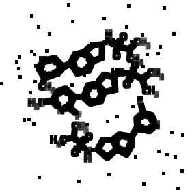 CC(C)S(=O)(=O)N[C@H]1Cc2ccc(-c3cncc(F)c3)cc2C1.Cc1ccc(-c2ccc3c(c2)C[C@@H](NS(=O)(=O)C(C)C)C3)c(F)n1.Cc1cncc(-c2ccc3c(c2)C[C@@H](NS(=O)(=O)C(C)C)C3)c1